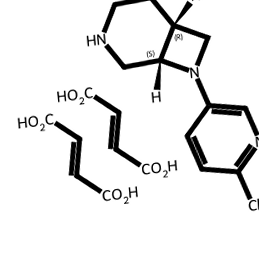 Clc1ccc(N2C[C@H]3CCNC[C@H]32)cn1.O=C(O)C=CC(=O)O.O=C(O)C=CC(=O)O